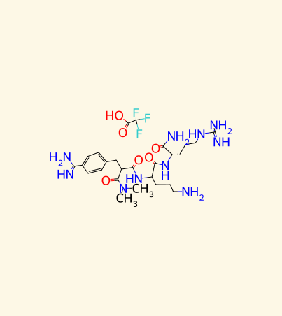 CN(C)C(=O)C(Cc1ccc(C(=N)N)cc1)C(=O)NC(CCCN)C(=O)N[C@@H](CCCNC(=N)N)C(N)=O.O=C(O)C(F)(F)F